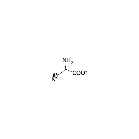 CC(C)C(N)C(=O)[O-].[K+]